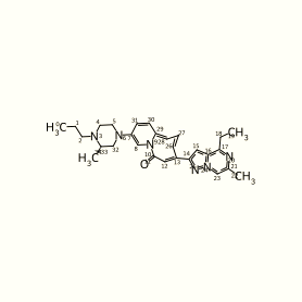 CCCN1CCN(C2=CN3C(=O)\C=C(c4cc5c(CC)nc(C)cn5n4)/C=C/C=C/3C=C2)C[C@H]1C